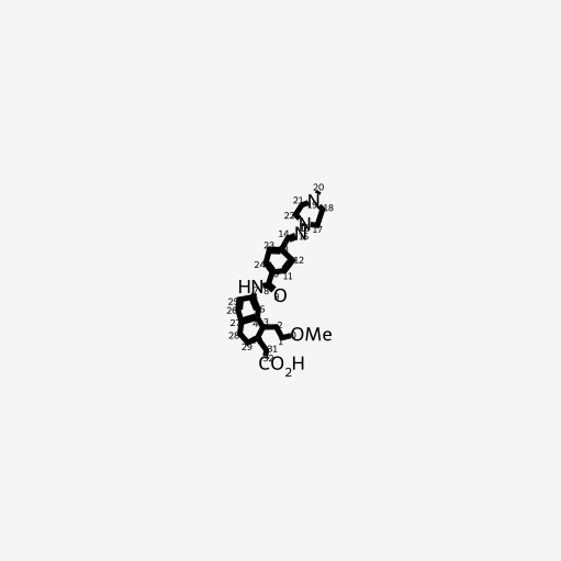 COCCC1c2cc(NC(=O)c3ccc(C=NN4CCN(C)CC4)cc3)ccc2CCC1CC(=O)O